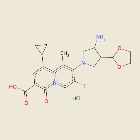 Cc1c(N2CC(N)C(C3OCCO3)C2)c(F)cn2c(=O)c(C(=O)O)cc(C3CC3)c12.Cl